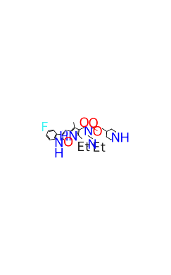 CCN(CC)CCN(C(=O)OCC1CCNCC1)C(=O)c1c(C)[nH]c(/C=C2\C(=O)Nc3ccc(F)cc32)c1C